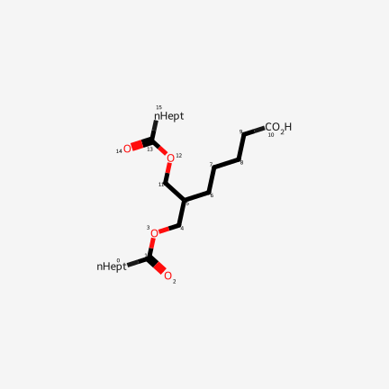 CCCCCCCC(=O)OCC(CCCCC(=O)O)COC(=O)CCCCCCC